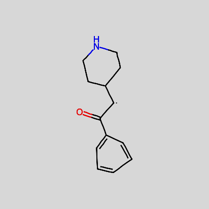 O=C([CH]C1CCNCC1)c1ccccc1